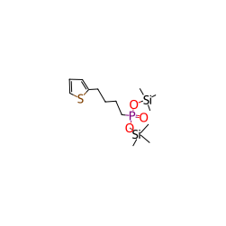 C[Si](C)(C)OP(=O)(CCCCc1cccs1)O[Si](C)(C)C